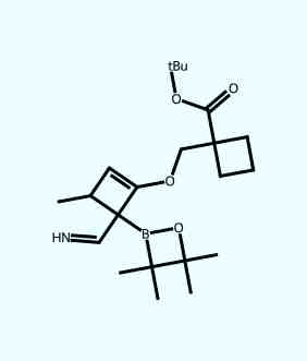 CC1C=C(OCC2(C(=O)OC(C)(C)C)CCC2)C1(C=N)B1OC(C)(C)C1(C)C